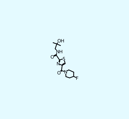 CC(C)(O)CNC(=O)c1nc(C(=O)N2CCC(F)CC2)cs1